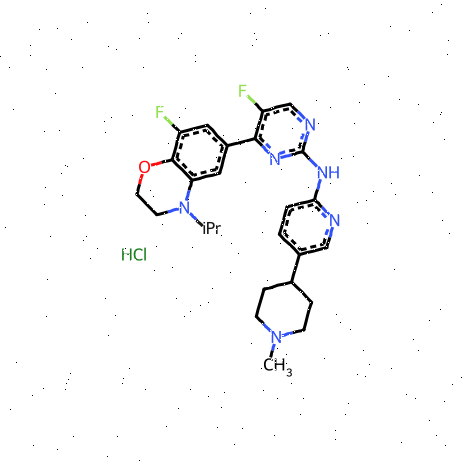 CC(C)N1CCOc2c(F)cc(-c3nc(Nc4ccc(C5CCN(C)CC5)cn4)ncc3F)cc21.Cl